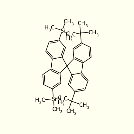 CC(C)(C)c1ccc2c(c1)C1(c3cc(C(C)(C)C)ccc3-2)c2cc([Si](C)(C)C)ccc2-c2ccc([Si](C)(C)C)cc21